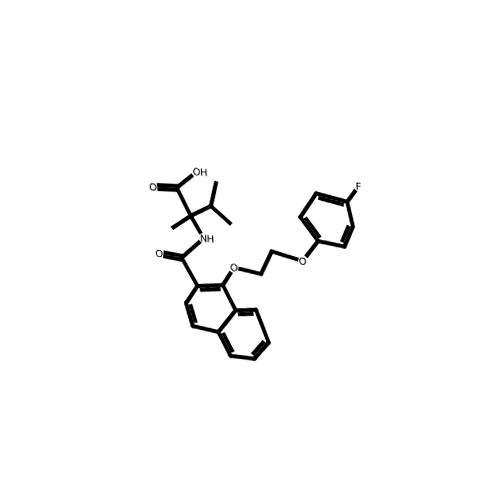 CC(C)C(C)(NC(=O)c1ccc2ccccc2c1OCCOc1ccc(F)cc1)C(=O)O